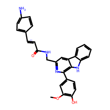 COc1cc(-c2nc(CNC(=O)/C=C/c3ccc(N)cc3)cc3c2[nH]c2ccccc23)ccc1O